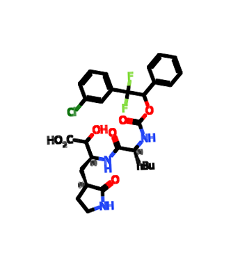 CCCC[C@H](NC(=O)OC(c1ccccc1)C(F)(F)c1cccc(Cl)c1)C(=O)N[C@@H](C[C@@H]1CCNC1=O)C(O)C(=O)O